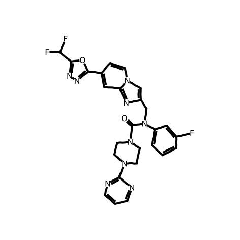 O=C(N1CCN(c2ncccn2)CC1)N(Cc1cn2ccc(-c3nnc(C(F)F)o3)cc2n1)c1cccc(F)c1